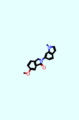 COc1ccc2c(c1)C(=O)N(c1ccc3ccn(C)c3c1)C2